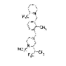 Cc1c(CN2CCN(C(=O)O)C(C(C(F)(F)F)C(F)(F)F)C2)cccc1CN1CCCCC1C